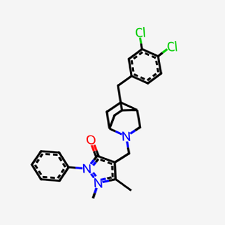 Cc1c(CN2CC3CCC2CC3Cc2ccc(Cl)c(Cl)c2)c(=O)n(-c2ccccc2)n1C